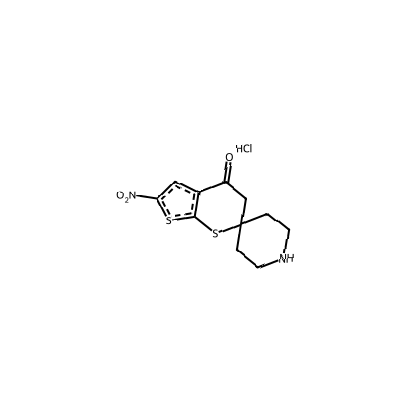 Cl.O=C1CC2(CCNCC2)Sc2sc([N+](=O)[O-])cc21